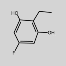 CCc1c(O)cc(F)cc1O